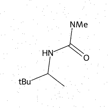 CNC(=O)NC(C)C(C)(C)C